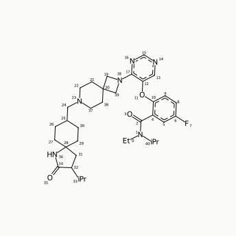 CCN(C(=O)c1cc(F)ccc1Oc1cncnc1N1CC2(CCN(CC3CCC4(CC3)CC(C(C)C)C(=O)N4)CC2)C1)C(C)C